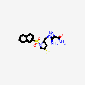 NC(=O)c1nnn(CC2CC(S)CN2S(=O)(=O)c2ccc3ccccc3c2)c1N